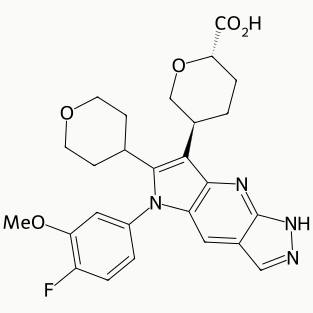 COc1cc(-n2c(C3CCOCC3)c([C@@H]3CC[C@@H](C(=O)O)OC3)c3nc4[nH]ncc4cc32)ccc1F